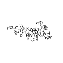 CCCC(=O)N[C@@H](C(C)=O)[C@@H](OC(=O)NC(C)C(=O)NC(CCC(=O)NC(C(=O)O)C(C)C)C(N)=O)[C@H](O)[C@H](O)CO